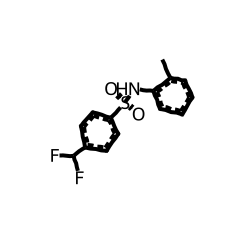 Cc1ccccc1NS(=O)(=O)c1ccc(C(F)F)cc1